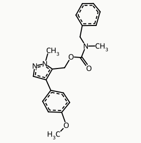 COc1ccc(-c2cnn(C)c2COC(=O)N(C)Cc2ccccc2)cc1